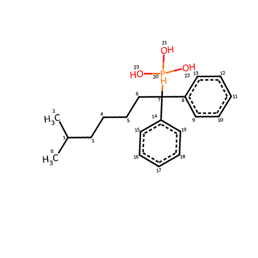 CC(C)CCCCC(c1ccccc1)(c1ccccc1)[PH](O)(O)O